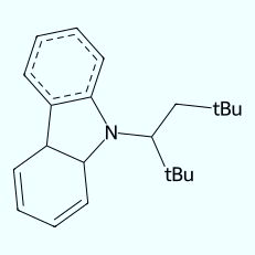 CC(C)(C)CC(N1c2ccccc2C2C=CC=CC21)C(C)(C)C